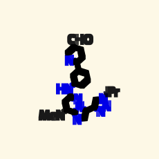 CNc1cc(Nc2cccc(-c3ccc(C=O)cn3)c2)nn2c(-c3cn(C(C)C)nn3)cnc12